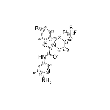 Cc1cc(NC(=O)C(=O)N2C[C@H](C)C(OC(F)(F)F)C[C@H]2c2ccc(F)cc2)cnc1N